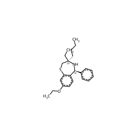 CCCC[C@@]1(CC)CSc2cc(OCC)ccc2[C@H](c2ccccc2)N1